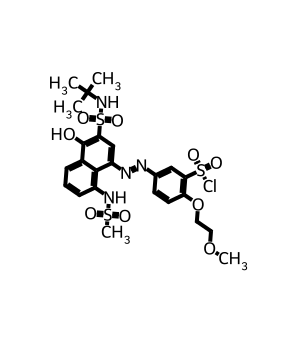 COCCOc1ccc(N=Nc2cc(S(=O)(=O)NC(C)(C)C)c(O)c3cccc(NS(C)(=O)=O)c23)cc1S(=O)(=O)Cl